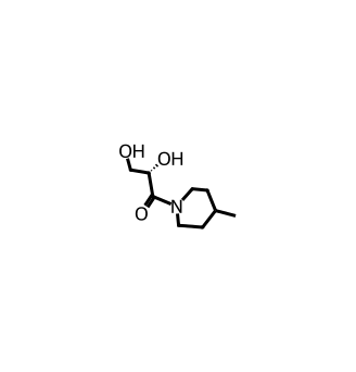 CC1CCN(C(=O)[C@@H](O)CO)CC1